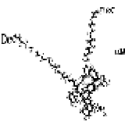 CCCCCCCCCCCCCCCCCCCCCCCCCCCCCC[C](CCCCCCCCCCCCCCCCCCCCCCCCCCCCCC)=[Zr+2]([C]1=CC=CC1)[CH]1c2cc(-c3ccccc3C)c(C(C)(C)C)cc2-c2cc(C(C)(C)C)c(-c3ccccc3C)cc21.[Cl-].[Cl-]